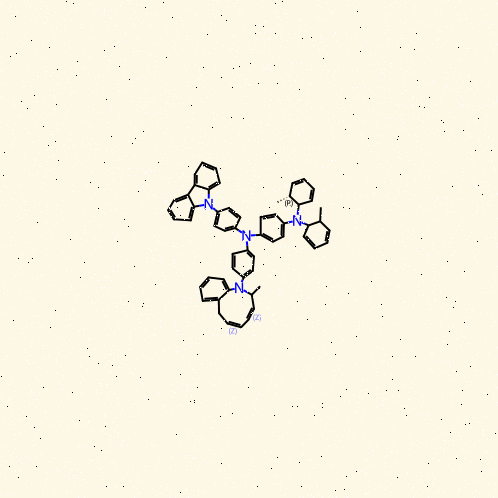 CC1C=CC=CC1N(c1ccc(N(c2ccc(N3c4ccccc4C/C=C\C=C/C3C)cc2)c2ccc(-n3c4ccccc4c4ccccc43)cc2)cc1)C1C=CC=C[C@H]1C